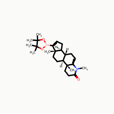 CN1C(=O)CC[C@@]2(C)C1=CC[C@@H]1[C@@H]2CC[C@]2(C)C(B3OC(C)(C)C(C)(C)O3)=CC[C@@H]12